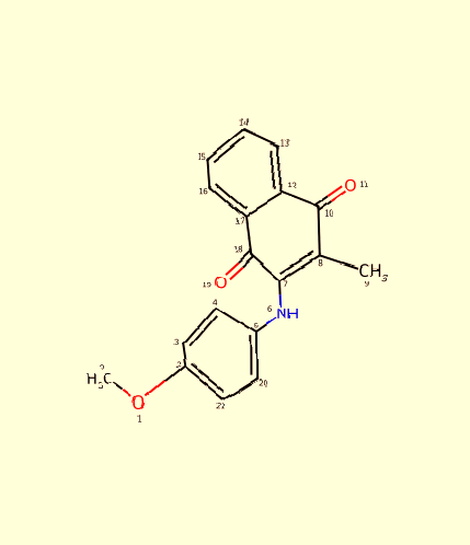 COc1ccc(NC2=C(C)C(=O)c3ccccc3C2=O)cc1